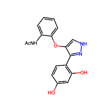 CC(=O)Nc1ccccc1Oc1c[nH]nc1-c1ccc(O)cc1O